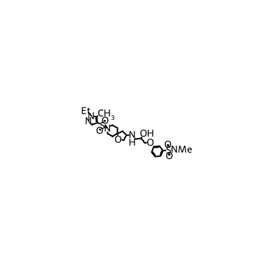 CCn1ncc(S(=O)(=O)N2CCC3(CC2)CC(NCC(O)COc2cccc(S(=O)(=O)NC)c2)CO3)c1C